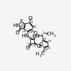 CC[C@@H](Nc1c(Nc2c(Cl)cc(Cl)c3c2C(=O)NC3)c(=O)c1=O)c1ccc(C)o1